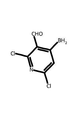 Bc1cc(Cl)nc(Cl)c1C=O